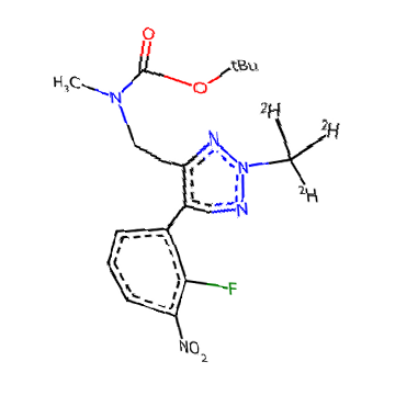 [2H]C([2H])([2H])n1nc(CN(C)C(=O)OC(C)(C)C)c(-c2cccc([N+](=O)[O-])c2F)n1